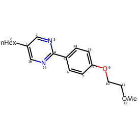 CCCCCCc1cnc(-c2ccc(OCCOC)cc2)nc1